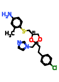 Cc1cc(N)ccc1SC[C@H]1CO[C@](CCc2ccc(Cl)cc2)(Cn2ccnc2)O1